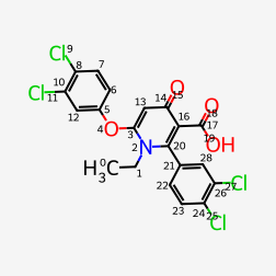 CCn1c(Oc2ccc(Cl)c(Cl)c2)cc(=O)c(C(=O)O)c1-c1ccc(Cl)c(Cl)c1